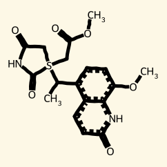 COC(=O)CS1(C(C)c2ccc(OC)c3[nH]c(=O)ccc23)CC(=O)NC1=O